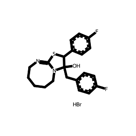 Br.OC1(Cc2ccc(F)cc2)C(c2ccc(F)cc2)S/C2=N/CCCCCN21